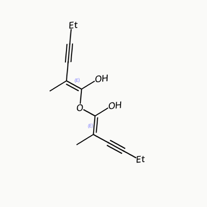 CCC#C/C(C)=C(\O)O/C(O)=C(\C)C#CCC